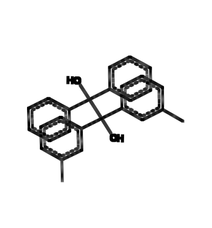 Cc1cccc(C(O)(c2cccc(C)c2)C(O)(c2ccccc2)c2ccccc2)c1